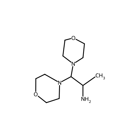 CC(N)C(N1CCOCC1)N1CCOCC1